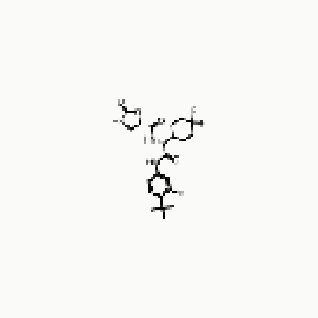 CC(C)(C)c1ccc(NC(=O)[C@H](NC(=O)[C@@H]2CNC(=O)O2)C2CCC(F)(F)CC2)cc1F